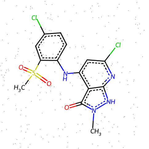 Cn1[nH]c2nc(Cl)cc(Nc3ccc(Cl)cc3S(C)(=O)=O)c2c1=O